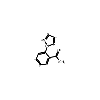 CC(=O)c1ccccc1-n1nccn1